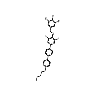 CCCCCc1ccc(-c2ccc(-c3cc(F)c(OCc4cc(F)c(F)c(F)c4)c(F)c3)cc2)cc1